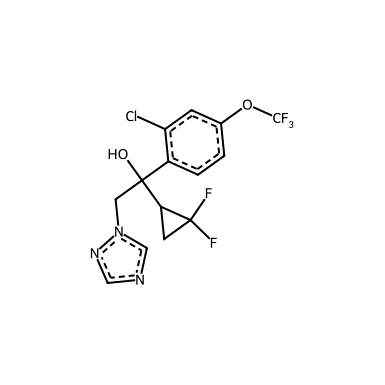 OC(Cn1cncn1)(c1ccc(OC(F)(F)F)cc1Cl)C1CC1(F)F